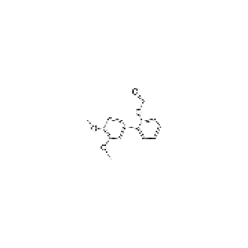 COc1ccc(-c2ccccc2OC=O)cc1OC